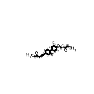 C=CC(=O)CC#Cc1ccc(-c2ccc(OCOC(=O)C=C)c(F)c2)c(F)c1